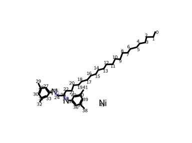 CCCCCCCCCCCCCCCCCCCCCCCC(/C=N/c1cc(C)cc(C)c1)=N\c1cc(C)cc(C)c1.[Ni]